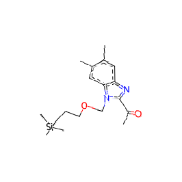 CC(=O)c1nc2cc(C)c(C)cc2n1COCC[Si](C)(C)C